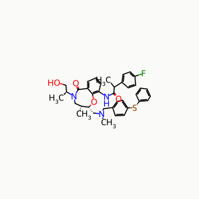 CC(C(=O)Nc1cccc2c1O[C@H](CN(C)Cc1ccc(Sc3ccccc3)cc1)[C@H](C)CN([C@@H](C)CO)C2=O)c1ccc(F)cc1